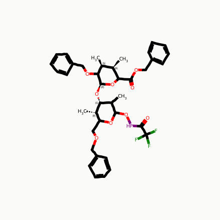 CC1C(OPC(=O)C(F)(F)F)OC(COCc2ccccc2)[C@H](C)[C@@H]1O[C@@H]1OC(C(=O)OCc2ccccc2)[C@H](C)[C@H](C)C1OCc1ccccc1